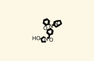 CN1C2CCC1CC(N1c3ccccc3Oc3cc(C(=O)N4CC[C@H](O)C4)ccc31)C2